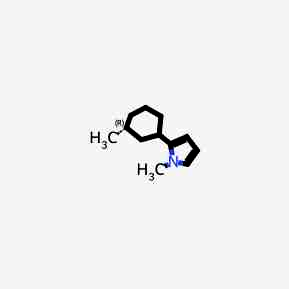 C[C@@H]1CCCC(c2cccn2C)C1